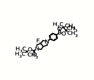 CC(C)(C)OC(=O)N1CC2CN(c3ccc(B4OC(C)(C)C(C)(C)O4)cc3)C[C@]2(F)C1